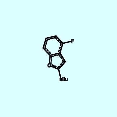 CCCCc1cc2c(F)cccc2o1